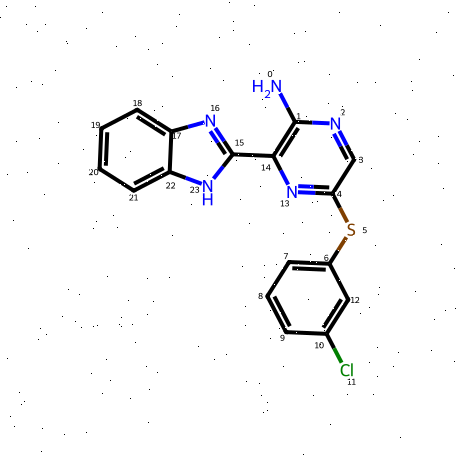 Nc1ncc(Sc2cccc(Cl)c2)nc1-c1nc2ccccc2[nH]1